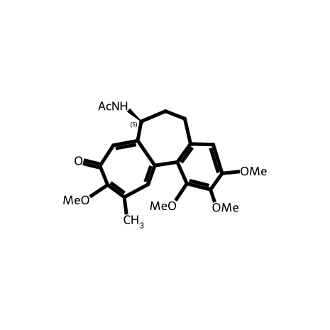 COc1cc2c(c(OC)c1OC)-c1cc(C)c(OC)c(=O)cc1[C@@H](NC(C)=O)CC2